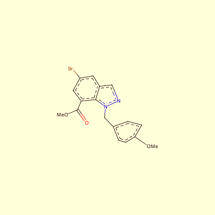 COC(=O)c1cc(Br)cc2cnn(Cc3ccc(OC)cc3)c12